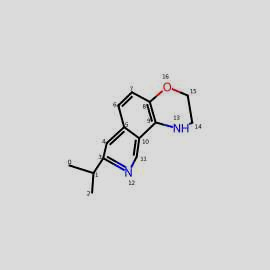 CC(C)c1cc2ccc3c(c2cn1)NCCO3